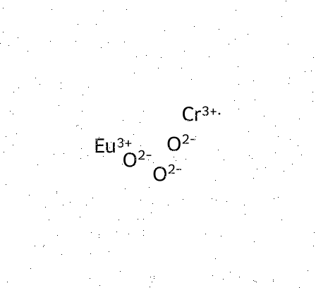 [Cr+3].[Eu+3].[O-2].[O-2].[O-2]